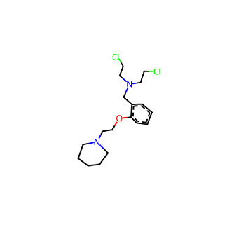 ClCCN(CCCl)Cc1ccccc1OCCN1CCCCC1